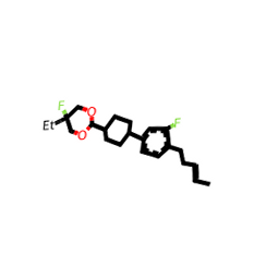 C/C=C/CCc1ccc(C2CCC(C3OCC(F)(CC)CO3)CC2)cc1F